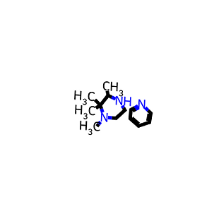 CC1NCCN(C)C1(C)C.c1ccncc1